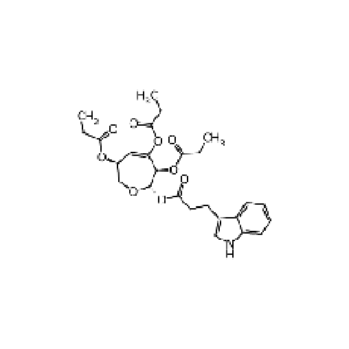 CCC(=O)OC1=C[C@H](OC(=O)CC)CO[C@@H](OC(=O)CCc2c[nH]c3ccccc23)[C@@H]1OC(=O)CC